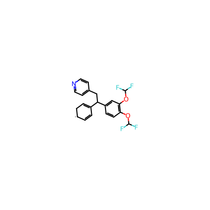 FC(F)Oc1ccc(C(Cc2ccncc2)C2=CC[CH]C=C2)cc1OC(F)F